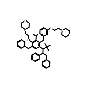 CC(C)c1c(Cc2cc(OCCN3CCOCC3)ccn2)c([C](C(Cc2ccccc2)c2ccccc2)C(C)(C)C)cc(Cc2ccccc2)c1OCCN1CCOCC1